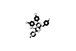 CCC[C@H](C(=O)N1CCN(C)CC1)N1C(=O)[C@H](Cc2ccc(F)cc2)O[C@@H](c2ccc(Cl)cc2)[C@H]1c1ccc(Cl)cc1